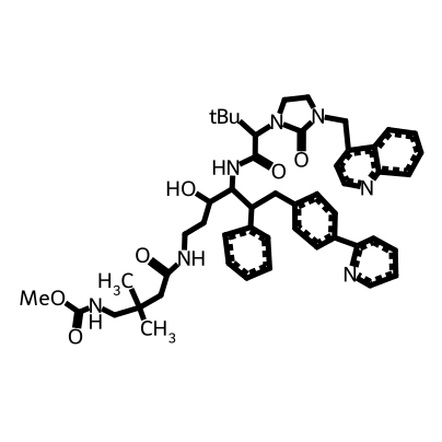 COC(=O)NCC(C)(C)CC(=O)NCCC(O)C(NC(=O)C(N1CCN(Cc2ccnc3ccccc23)C1=O)C(C)(C)C)C(Cc1ccc(-c2ccccn2)cc1)c1ccccc1